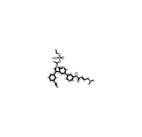 CCOP(=O)(O)OC(C)n1cc(-c2cccc(C#N)c2)c2cc(-c3cncc(NC(=O)/C=C/CN(C)C)c3)cnc21